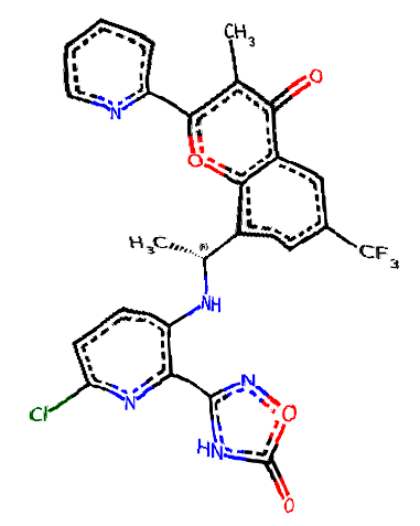 Cc1c(-c2ccccn2)oc2c([C@@H](C)Nc3ccc(Cl)nc3-c3noc(=O)[nH]3)cc(C(F)(F)F)cc2c1=O